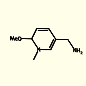 COC1C=CC(CN)=CN1C